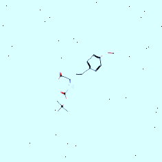 COc1ccc(CC[C@H](NC(=O)OC(C)(C)C)C(=O)O)cc1